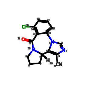 N#Cc1ncn2c1[C@@H]1CCCN1C(=O)c1c(Cl)cccc1-2